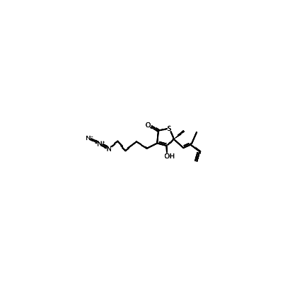 C=C/C(C)=C/[C@@]1(C)SC(=O)C(CCCCN=[N+]=[N-])=C1O